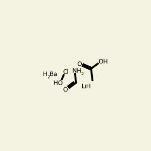 CC(=O)O.NC=O.OCl.[BaH2].[LiH]